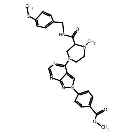 COC(=O)c1ccc(-n2cc3c(N4CCN(C)C(C(=O)NCc5ccc(SC)cc5)C4)ncnc3n2)cc1